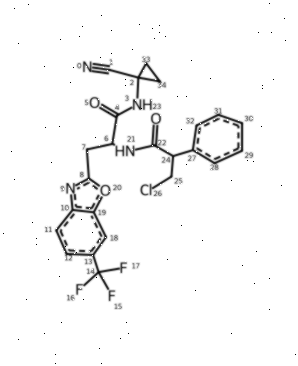 N#CC1(NC(=O)C(Cc2nc3ccc(C(F)(F)F)cc3o2)NC(=O)C(CCl)c2ccccc2)CC1